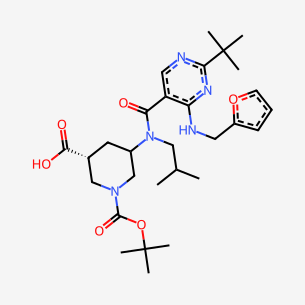 CC(C)CN(C(=O)c1cnc(C(C)(C)C)nc1NCc1ccco1)C1C[C@@H](C(=O)O)CN(C(=O)OC(C)(C)C)C1